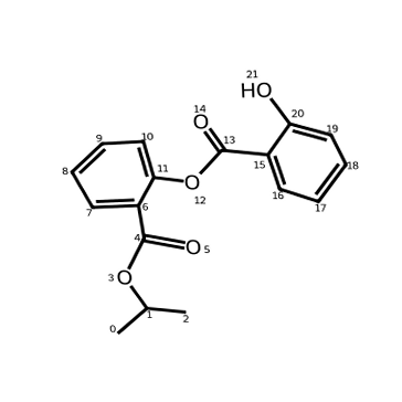 CC(C)OC(=O)c1ccccc1OC(=O)c1ccccc1O